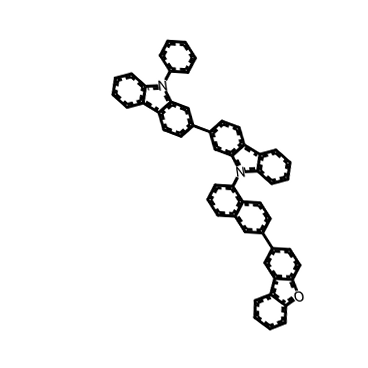 c1ccc(-n2c3ccccc3c3ccc(-c4ccc5c6ccccc6n(-c6cccc7cc(-c8ccc9oc%10ccccc%10c9c8)ccc67)c5c4)cc32)cc1